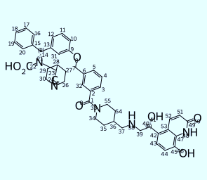 O=C(c1cccc(COc2cccc([C@@H](c3ccccc3)N(C(=O)O)C3CN4CCC3CC4)c2)c1)N1CCC(CNC[C@H](O)c2ccc(O)c3[nH]c(=O)ccc23)CC1